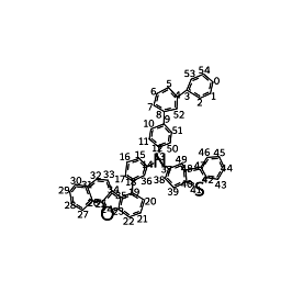 c1ccc(-c2cccc(-c3ccc(N(c4cccc(-c5cccc6oc7c8ccccc8ccc7c56)c4)c4ccc5sc6ccccc6c5c4)cc3)c2)cc1